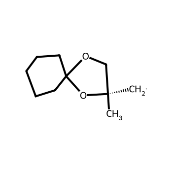 [CH2][C@@]1(C)COC2(CCCCC2)O1